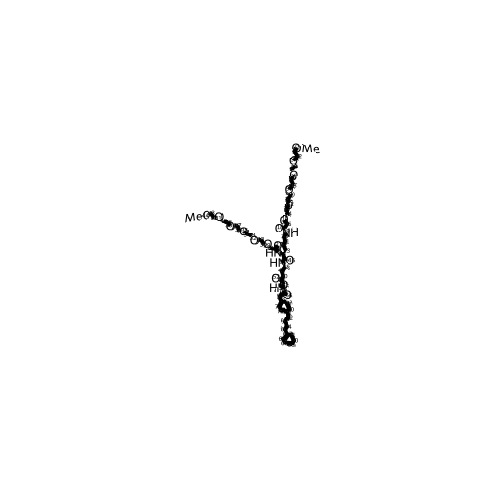 COCCOCCOCCOCCOCCOCC(=O)NCCCC[C@H](NC(=O)COCCOCCOCCOCCOCCOC)C(=O)NCCCC(=O)ONC(=O)Cc1ccc(CCCCc2ccccc2)cc1